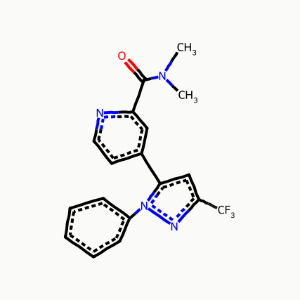 CN(C)C(=O)c1cc(-c2cc(C(F)(F)F)nn2-c2ccccc2)ccn1